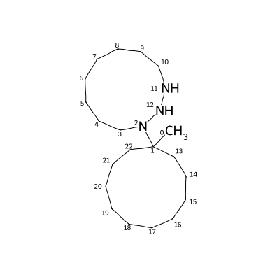 CC1(N2CCCCCCCCNN2)CCCCCCCCCC1